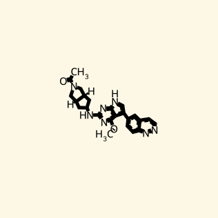 COc1nc(NC2C[C@@H]3CN(C(C)=O)C[C@@H]3C2)nc2[nH]cc(-c3ccc4nnccc4c3)c12